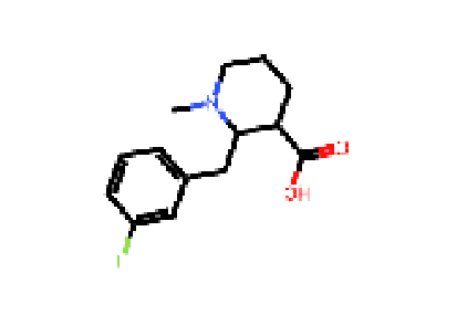 CN1CCCC(C(=O)O)C1Cc1cccc(F)c1